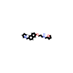 c1coc(CNCCCOc2ccc3c(c2)CCC(CN2CCCC2)C3)c1